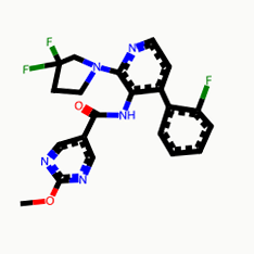 COc1ncc(C(=O)Nc2c(-c3ccccc3F)ccnc2N2CCC(F)(F)C2)cn1